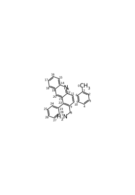 Cc1ccccc1.NCc1ccc2nc3ccccc3cc2c1-c1ccccc1